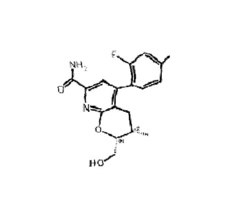 Cc1ccc(-c2cc(C(N)=O)nc3c2C[C@H](C)[C@H](CO)O3)c(F)c1